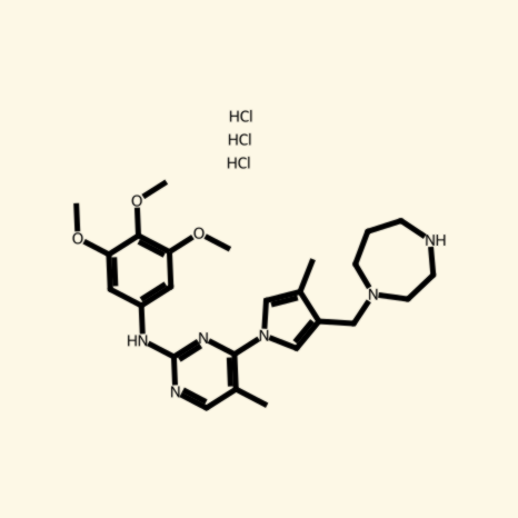 COc1cc(Nc2ncc(C)c(-n3cc(C)c(CN4CCCNCC4)c3)n2)cc(OC)c1OC.Cl.Cl.Cl